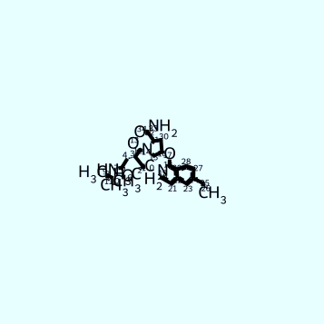 C=C(C)[C@H](CC(=O)NC(C)(C)C)C(=O)N1C[C@H](Oc2nccc3cc(CC)ccc23)CC1C(N)=O